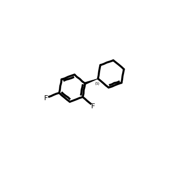 Fc1ccc([C@@H]2C=CCCC2)c(F)c1